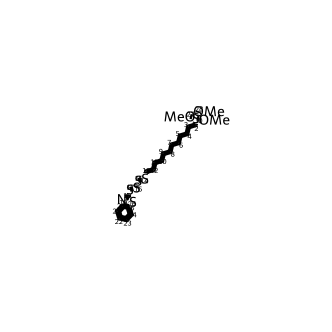 CO[Si](CCCCCCCCCCCCSSSSc1nc2ccccc2s1)(OC)OC